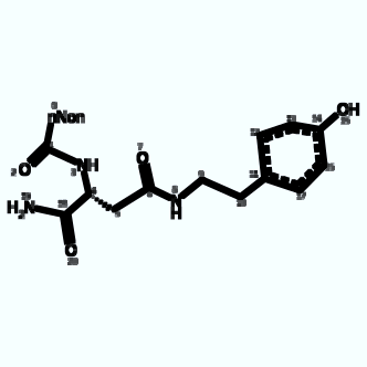 CCCCCCCCCC(=O)N[C@H](CC(=O)NCCc1ccc(O)cc1)C(N)=O